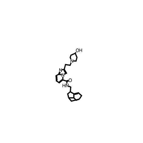 O=C(NCC1CC2CC3CC=C1C2C3)c1cccc2nc(CCN3CCC(O)CC3)cn12